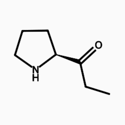 CCC(=O)[C@@H]1CCCN1